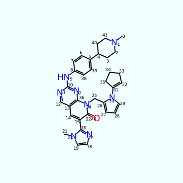 CN1CCC(c2ccc(Nc3ncc4cc(-c5nccn5C)c(=O)n(Cc5cccn5C5=CCCC5)c4n3)cc2)CC1